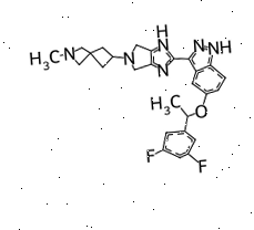 CC(Oc1ccc2[nH]nc(-c3nc4c([nH]3)CN(C3CC5(C3)CN(C)C5)C4)c2c1)c1cc(F)cc(F)c1